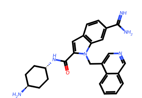 N=C(N)c1ccc2cc(C(=O)N[C@H]3CC[C@H](N)CC3)n(Cc3cncc4ccccc34)c2c1